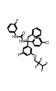 O=C(Nc1cccc(F)c1)N[C@@](Cc1ccccc1)(c1cc(F)cc(OCC(F)(F)C(F)F)c1)c1ccc(Cl)cn1